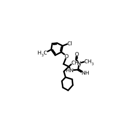 Cc1ccc(Cl)c(OCC(C)(CC2CCCCC2)NC(=N)N(C)C=O)c1